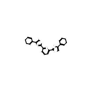 C1=CC(c2coc(-c3cccc(-c4nc(C5=CCCC=C5)co4)n3)n2)=CCC1